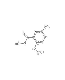 CC(C)(C)OC(=O)c1cc([N+](=O)[O-])ccc1OC(=O)O